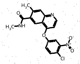 CNC(=O)c1cc2c(Oc3ccc(Cl)c([N+](=O)[O-])c3)ccnc2cc1C